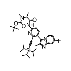 Cc1nc2cc(F)ccn2c1-c1ccc(NC(=O)C(C)N(C)C(=O)OC(C)(C)C)nc1C#C[Si](C(C)C)(C(C)C)C(C)C